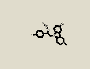 CN1CCc2c(c3cc(Cl)ccc3n2CC(N=[N+]=[N-])c2ccc(F)cc2)C1